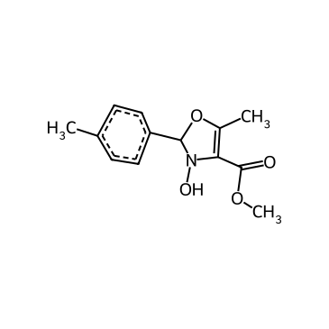 COC(=O)C1=C(C)OC(c2ccc(C)cc2)N1O